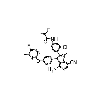 C=C(F)C(=O)Nc1ccc(-c2c(-c3ccc(Oc4ncc(F)c(C)n4)cc3)c3c(N)ncc(C#N)c3n2C)c(Cl)c1